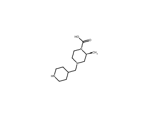 C[C@H]1CN(CC2CCNCC2)CCN1C(=O)O